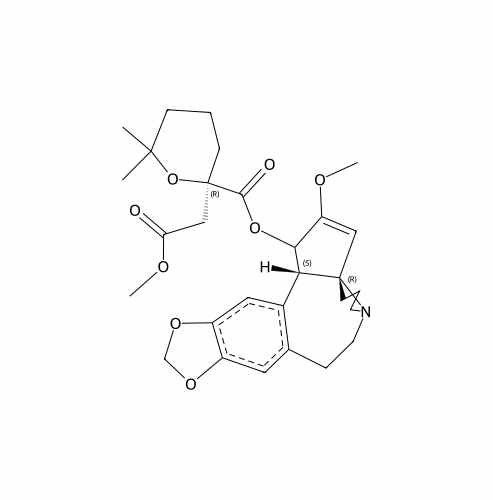 COC(=O)C[C@@]1(C(=O)OC2C(OC)=C[C@]34CCCN3CCc3cc5c(cc3[C@H]24)OCO5)CCCC(C)(C)O1